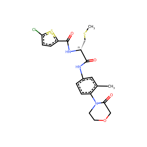 CSC[C@@H](NC(=O)c1ccc(Cl)s1)C(=O)Nc1ccc(N2CCOCC2=O)c(C)c1